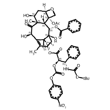 CC(=O)O[C@@]12CO[C@@H]1C[C@H](O)[C@@]1(C)C(=O)[C@H](O)C3=C(C)[C@@H](OC(=O)[C@H](OC(=O)Oc4ccc([N+](=O)[O-])cc4)[C@@H](NC(=O)OC(C)(C)C)c4ccccc4)C[C@@](O)([C@@H](OC(=O)c4ccccc4)[C@@H]21)C3(C)C